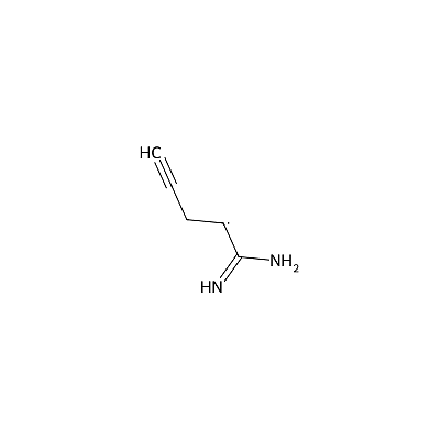 C#CC[CH]C(=N)N